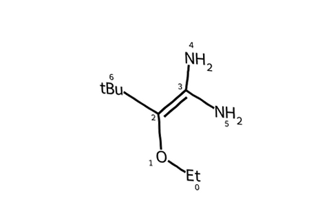 CCOC(=C(N)N)C(C)(C)C